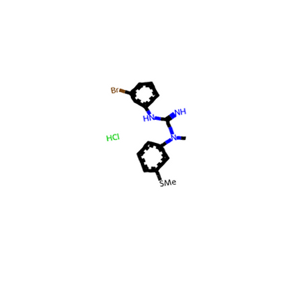 CSc1cccc(N(C)C(=N)Nc2cccc(Br)c2)c1.Cl